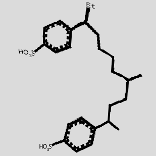 CCC(CCCCC(C)CCC(C)c1ccc(S(=O)(=O)O)cc1)c1ccc(S(=O)(=O)O)cc1